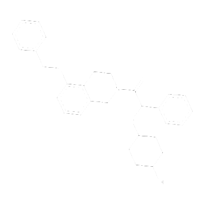 O=C(C(OC1CCC(O)CC1)c1ccccc1)N1CCc2c(cccc2OCc2ccccc2)C1